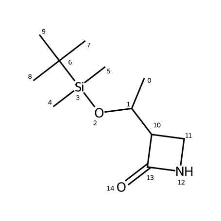 CC(O[Si](C)(C)C(C)(C)C)C1CNC1=O